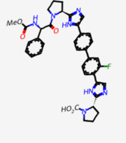 COC(=O)N[C@@H](C(=O)N1CCC[C@H]1c1ncc(-c2ccc(-c3ccc(-c4cnc([C@@H]5CCCN5C(=O)O)[nH]4)c(F)c3)cc2)[nH]1)c1ccccc1